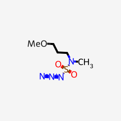 COCCCN(C)S(=O)(=O)N=[N+]=[N-]